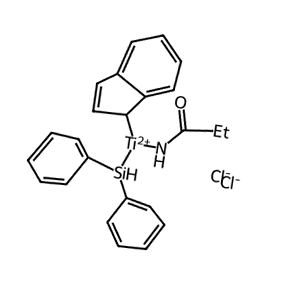 CCC(=O)[NH][Ti+2]([CH]1C=Cc2ccccc21)[SiH](c1ccccc1)c1ccccc1.[Cl-].[Cl-]